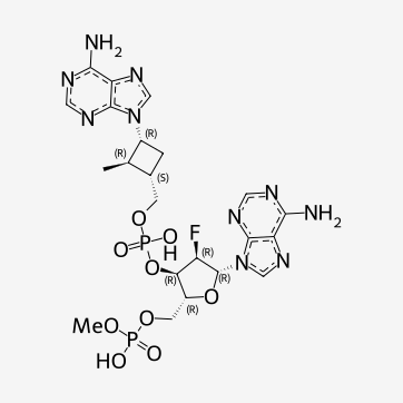 COP(=O)(O)OC[C@H]1O[C@@H](n2cnc3c(N)ncnc32)[C@H](F)[C@@H]1OP(=O)(O)OC[C@H]1C[C@@H](n2cnc3c(N)ncnc32)[C@@H]1C